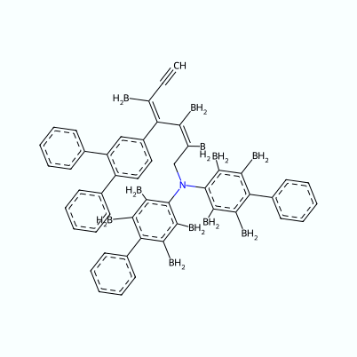 B/C(CN(c1c(B)c(B)c(-c2ccccc2)c(B)c1B)c1c(B)c(B)c(-c2ccccc2)c(B)c1B)=C(B)/C(=C(/B)C#C)c1ccc(-c2ccccc2)c(-c2ccccc2)c1